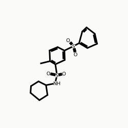 Cc1ccc(S(=O)(=O)c2ccccc2)cc1S(=O)(=O)NC1CCCCC1